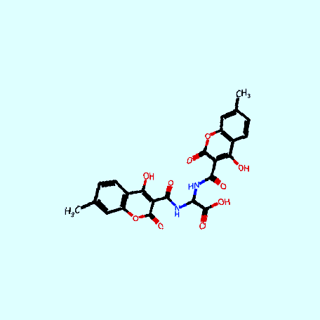 Cc1ccc2c(O)c(C(=O)NC(NC(=O)c3c(O)c4ccc(C)cc4oc3=O)C(=O)O)c(=O)oc2c1